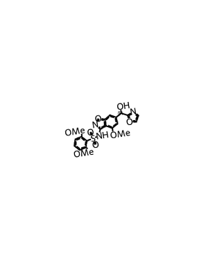 COc1cccc(OC)c1S(=O)(=O)Nc1noc2cc([C@@H](O)c3ncco3)cc(OC)c12